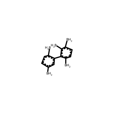 Bc1ccc(B)c(-c2c(B)ccc(B)c2B)c1